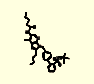 CCCCC(=O)Nc1cnc2c(nc(CCCC)n2Cc2ccc(-c3ccccc3S(=O)(=O)NC(C)(C)C)cc2)c1C